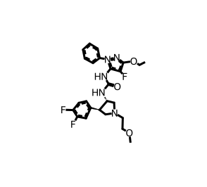 CCOc1nn(-c2ccccc2)c(NC(=O)N[C@@H]2CN(CCOC)C[C@H]2c2ccc(F)c(F)c2)c1F